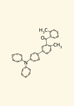 Cc1ccccc1C(=O)c1cc(-c2ccc(N(c3ccccc3)c3ccccc3)cc2)ccc1C